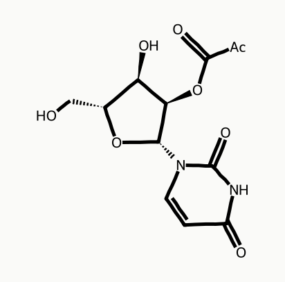 CC(=O)C(=O)O[C@@H]1[C@H](O)[C@@H](CO)O[C@H]1n1ccc(=O)[nH]c1=O